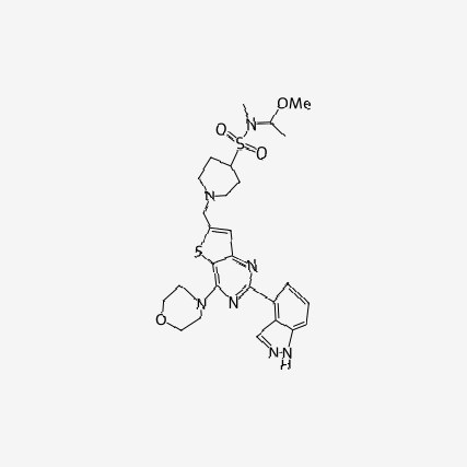 COC(C)N(C)S(=O)(=O)C1CCN(Cc2cc3nc(-c4cccc5[nH]ncc45)nc(N4CCOCC4)c3s2)CC1